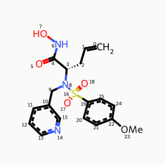 C=CC[C@@H](C(=O)NO)N(Cc1cccnc1)S(=O)(=O)c1ccc(OC)cc1